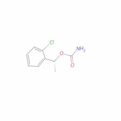 C[C@@H](OC(N)=O)c1ccccc1Cl